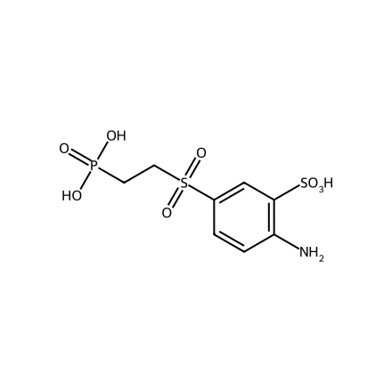 Nc1ccc(S(=O)(=O)CCP(=O)(O)O)cc1S(=O)(=O)O